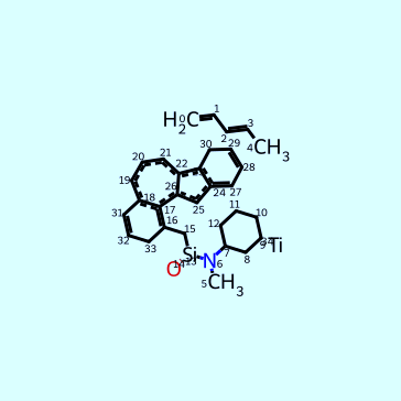 C=CC=CC.CN(C1CCCCC1)[Si](=O)CC1=c2c(cccc3c4c(cc2-3)=CC=CC4)C=CC1.[Ti]